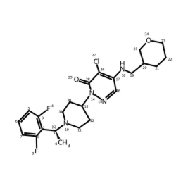 C[C@@H](c1c(F)cccc1F)N1CCC(n2ncc(NCC3CCCOC3)c(Cl)c2=O)CC1